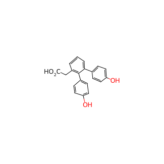 O=C(O)Cc1cccc(-c2ccc(O)cc2)c1-c1ccc(O)cc1